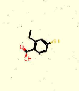 CCc1cc(S)ccc1C(=O)O